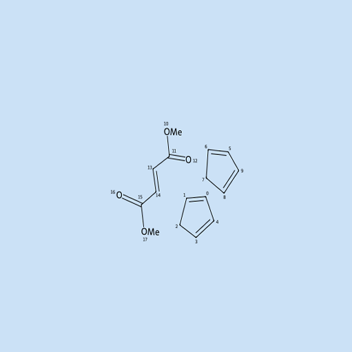 C1=CCC=C1.C1=CCC=C1.COC(=O)C=CC(=O)OC